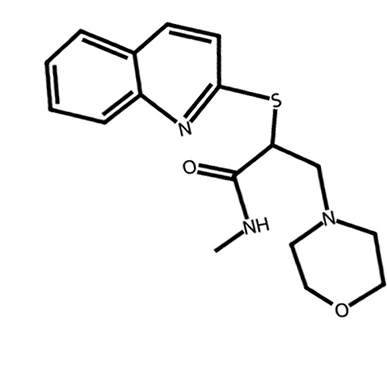 CNC(=O)C(CN1CCOCC1)Sc1ccc2ccccc2n1